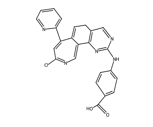 O=C(O)c1ccc(Nc2ncc3c(n2)C2=CN=C(Cl)C=C(c4ccccn4)C2=CC3)cc1